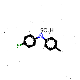 [CH2]c1ccc(N(c2ccc(F)cc2)S(=O)(=O)O)cc1